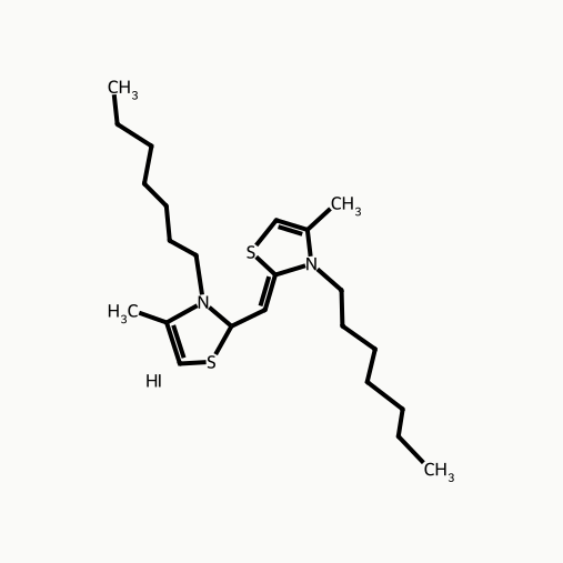 CCCCCCCN1C(C)=CSC1=CC1SC=C(C)N1CCCCCCC.I